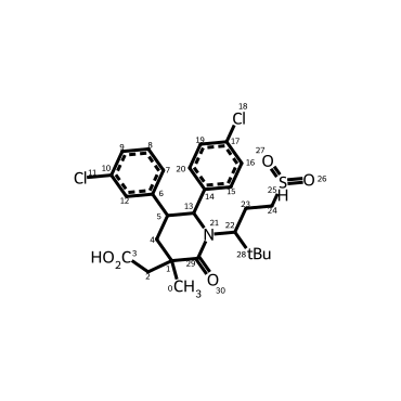 CC1(CC(=O)O)CC(c2cccc(Cl)c2)C(c2ccc(Cl)cc2)N(C(CC[SH](=O)=O)C(C)(C)C)C1=O